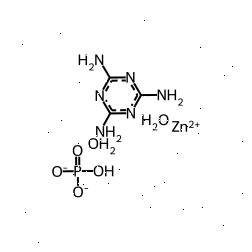 Nc1nc(N)nc(N)n1.O.O.O=P([O-])([O-])O.[Zn+2]